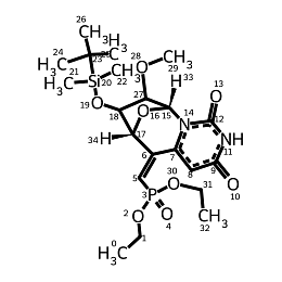 CCOP(=O)(/C=C1\c2cc(=O)[nH]c(=O)n2[C@@H]2O[C@H]1C(O[Si](C)(C)C(C)(C)C)C2OC)OCC